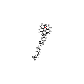 CC1(COc2ccc(CCC(=O)Oc3ccc(C4Oc5ccc6ccccc6c5-c5c(ccc6ccccc56)O4)cc3)cc2)CO1